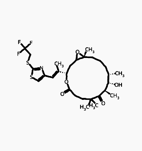 C/C(=C\c1csc(SCC(F)(F)F)n1)[C@@H]1CC2O[C@]2(C)CCC[C@H](C)[C@H](O)[C@@H](C)C(=O)C(C)(C)CCC(=O)O1